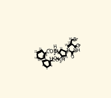 O=C(O)c1ccccc1.O=C(O)c1ccccc1.O=c1[nH]c(=O)n([C@H]2C[C@@H](CO)[C@H](O)C2)cc1CBr